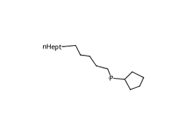 CCCCCCCCCCCC[P]C1CCCC1